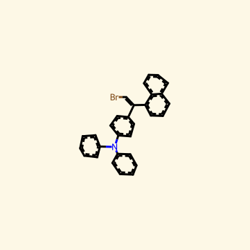 BrC=C(c1ccc(N(c2ccccc2)c2ccccc2)cc1)c1cccc2ccccc12